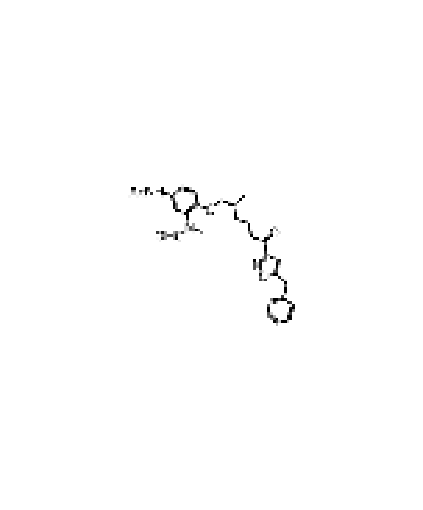 CC(=O)Nc1ccc(OC[C@@H](C)CCCC(=O)c2cc(Cc3ccccc3)on2)c(N(C)C=O)c1